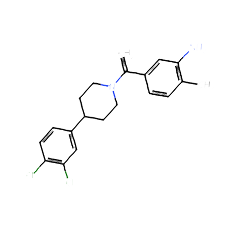 C=C(c1ccc(C)c(N)c1)N1CCC(c2ccc(Cl)c(Cl)c2)CC1